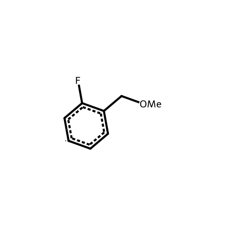 COCc1cc[c]cc1F